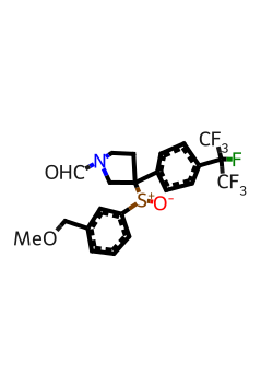 COCc1cccc([S+]([O-])C2(c3ccc(C(F)(C(F)(F)F)C(F)(F)F)cc3)CCN(C=O)C2)c1